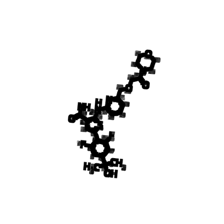 CC(C)(O)c1cc(F)c(-c2cc(C(N)=O)c(Nc3cccc(COCC(=O)N4CCOCC4)n3)s2)c(F)c1